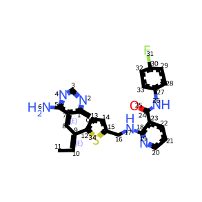 C=c1ncnc(N)/c1=C/C(=C\C)c1ccc(CNc2ncccc2C(=O)Nc2ccc(F)cc2)s1